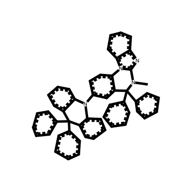 CN1c2nc3ccccc3n2-c2ccc(N3c4ccccc4C(c4ccccc4)(c4ccccc4)c4ccccc43)cc2C1(c1ccccc1)c1ccccc1